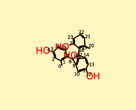 Cc1cc(O)ccc1C1c2cc(O)cc(c2O)C1c1c(C)cccc1O